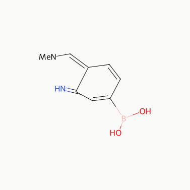 CN/C=C1/C=CC(B(O)O)=CC1=N